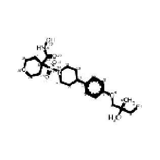 CC(C)(CF)COc1ccc(C2CCN(S(=O)(=O)C3(C(=O)NO)CCOCC3)CC2)cc1